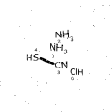 Cl.N.N.N#CS